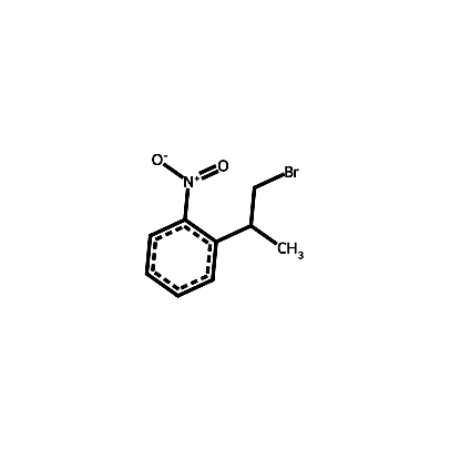 CC(CBr)c1ccccc1[N+](=O)[O-]